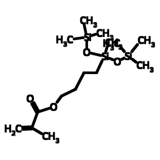 C=C(C)C(=O)OCCCC[Si](C)(O[Si](C)(C)C)O[Si](C)(C)C